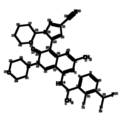 Cc1nc(NC(C)c2cccc(C(F)F)c2F)c2cn(N3CCOCC3)c(=O)c(-c3cc(C#N)nn3C3CCCCO3)c2n1